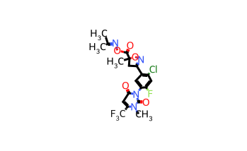 CC(C)=NOC(=O)C1(C)CC(c2cc(-n3c(=O)cc(C(F)(F)F)n(C)c3=O)c(F)cc2Cl)=NO1